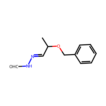 CC(C=NNC=O)OCc1ccccc1